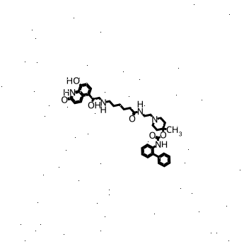 CC1(OC(=O)Nc2ccccc2-c2ccccc2)CCN(CCNC(=O)CCCCCNCC(O)c2ccc(O)c3[nH]c(=O)ccc23)CC1